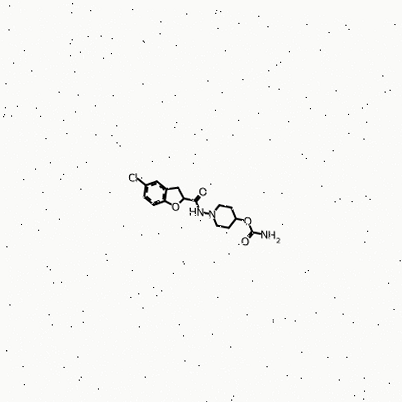 NC(=O)OC1CCN(NC(=O)C2Cc3cc(Cl)ccc3O2)CC1